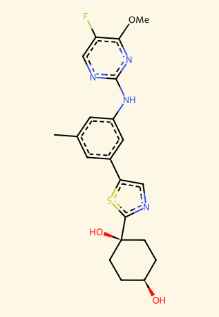 COc1nc(Nc2cc(C)cc(-c3cnc([C@]4(O)CC[C@@H](O)CC4)s3)c2)ncc1F